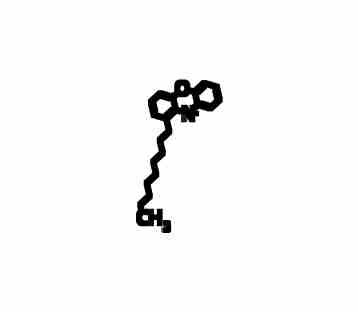 CCCCCCCCCc1cccc2c1[N]c1ccccc1O2